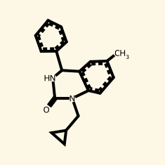 Cc1ccc2c(c1)C(c1ccccc1)NC(=O)N2CC1CC1